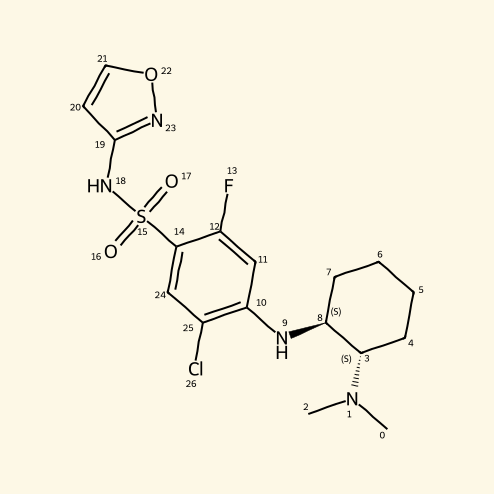 CN(C)[C@H]1CCCC[C@@H]1Nc1cc(F)c(S(=O)(=O)Nc2ccon2)cc1Cl